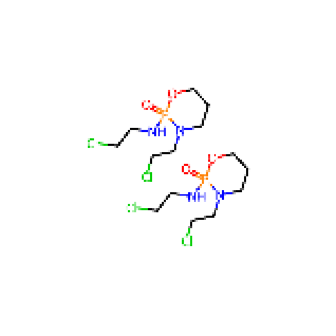 O=P1(NCCCl)OCCCN1CCCl.O=P1(NCCCl)OCCCN1CCCl